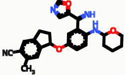 Cc1cc2c(cc1C#N)CCC2Oc1ccc(NC2CCCCO2)c(C(=N)c2cnco2)c1